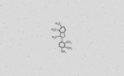 CC1=C(c2ccc(C)c(C)c2C)[CH]c2ccc(C)c(C)c21